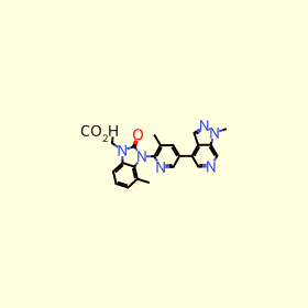 Cc1cc(-c2cncc3c2cnn3C)cnc1-n1c(=O)n(CC(=O)O)c2cccc(C)c21